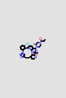 C=CC(=O)N1CCN(c2nc(=O)n3c4nc(c(F)cc24)-c2c(F)cccc2-n2cc(nn2)CCc2ccnc(C(C)C)c2-3)[C@@H](C)C1